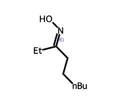 CCCCCC/C(CC)=N/O